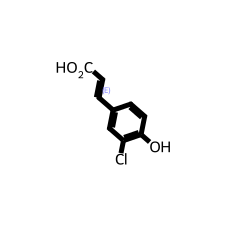 O=C(O)/C=C/c1ccc(O)c(Cl)c1